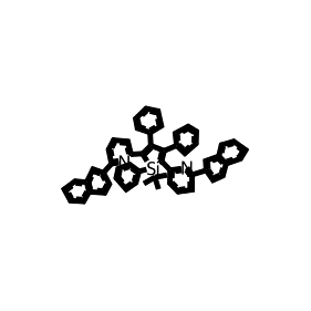 CC(C)(C)[Si]1(c2ccccc2)C(c2cccc(-c3ccc4ccccc4c3)n2)=C(c2ccccc2)C(c2ccccc2)=C1c1cccc(-c2ccc3ccccc3c2)n1